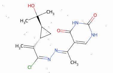 C=C(/C(Cl)=N\N=C(/C)c1c[nH]c(=O)[nH]c1=O)[C@H]1C[C@@H]1C(C)(C)O